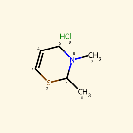 CC1SC=CCN1C.Cl